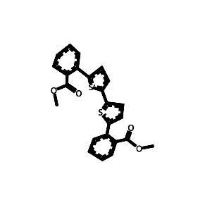 COC(=O)c1ccccc1-c1ccc(-c2ccc(-c3ccccc3C(=O)OC)s2)s1